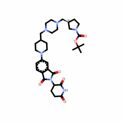 CC(C)(C)OC(=O)N1CC[C@H](CN2CCN(CC3CCN(c4ccc5c(c4)C(=O)N(C4CCC(=O)NC4=O)C5=O)CC3)CC2)C1